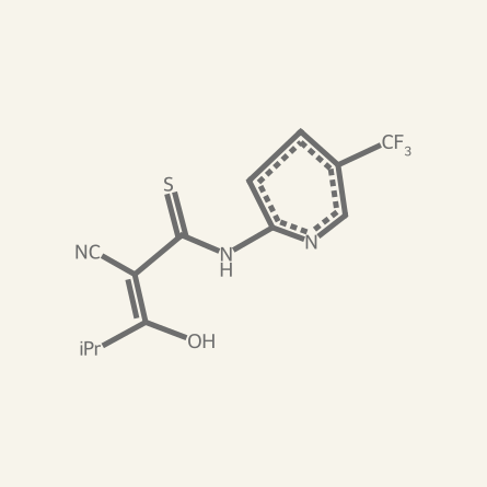 CC(C)C(O)=C(C#N)C(=S)Nc1ccc(C(F)(F)F)cn1